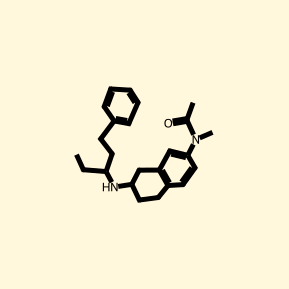 CCC(CCc1ccccc1)NC1CCc2ccc(N(C)C(C)=O)cc2C1